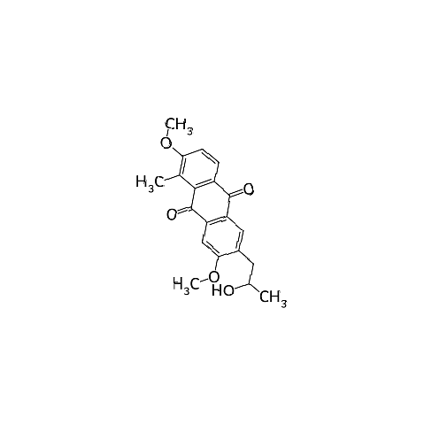 COc1cc2c(cc1CC(C)O)C(=O)c1ccc(OC)c(C)c1C2=O